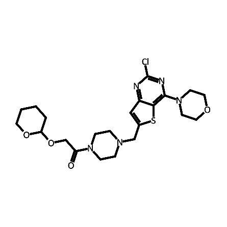 O=C(COC1CCCCO1)N1CCN(Cc2cc3nc(Cl)nc(N4CCOCC4)c3s2)CC1